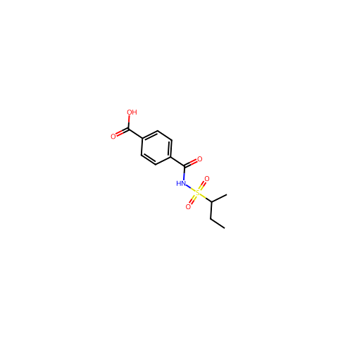 CCC(C)S(=O)(=O)NC(=O)c1ccc(C(=O)O)cc1